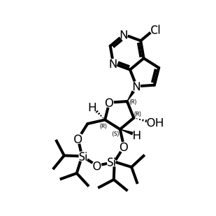 CC(C)[Si]1(C(C)C)OC[C@H]2O[C@@H](n3ccc4c(Cl)ncnc43)[C@H](O)[C@@H]2O[Si](C(C)C)(C(C)C)O1